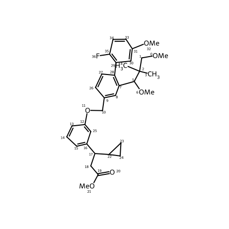 COCC(C)(C)C(OC)c1cc(COc2cccc(C(CC(=O)OC)C3CC3)c2)ccc1-c1cc(OC)ccc1F